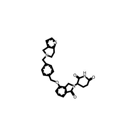 O=C1CCC(N2Cc3c(OCc4ccc(CN5CCc6sccc6C5)cc4)cccc3C2=O)C(=O)N1